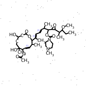 CCC(OC)C(C)C1OC1C(OC(=O)N1CCN(C)CC1)C(C)/C=C/C=C(\C)C1OC(=O)CC(O)CCC(C)(O)C(OC(C)=O)/C=C/C1C